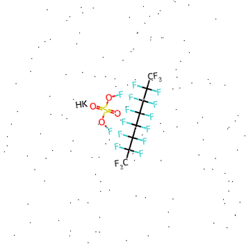 FC(F)(F)C(F)(F)C(F)(F)C(F)(F)C(F)(F)C(F)(F)C(F)(F)C(F)(F)F.O=S(=O)(OF)OF.[KH]